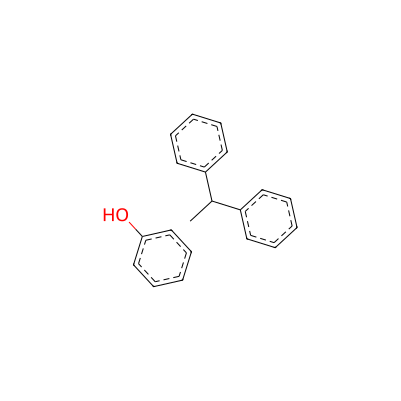 CC(c1ccccc1)c1ccccc1.Oc1ccccc1